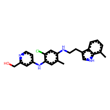 Cc1cc(Nc2ccnc(CO)c2)c(Cl)cc1NCCc1c[nH]c2c(C)cccc12